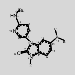 CCC(C)Nc1ccc(-n2c(=O)n(C)c3ccc(P(C)C)cc32)cn1